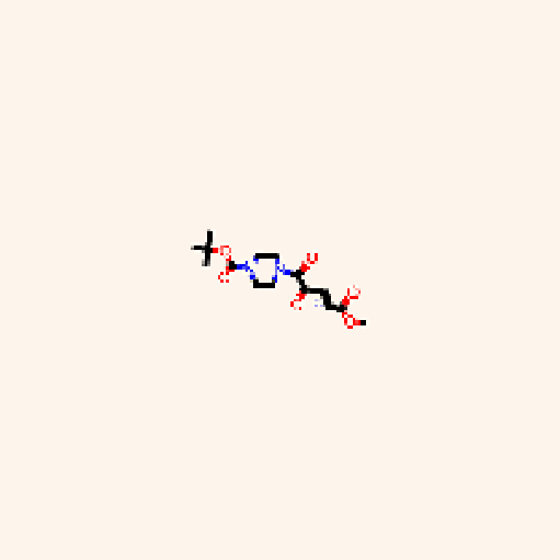 COC(=O)/C=C/C(=O)C(=O)N1CCN(C(=O)OC(C)(C)C)CC1